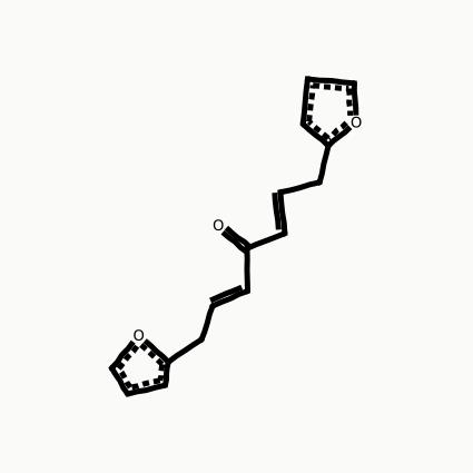 O=C(/C=C/Cc1ccco1)/C=C/Cc1ccco1